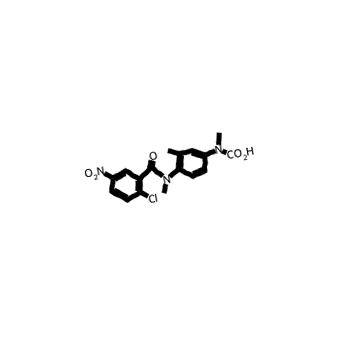 Cc1cc(N(C)C(=O)O)ccc1N(C)C(=O)c1cc([N+](=O)[O-])ccc1Cl